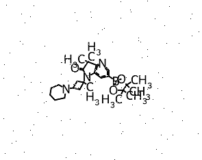 CC1(C)C(=O)N(C2(C)CC(N3CCCCC3)C2)c2cc(B3OC(C)(C)C(C)(C)O3)cnc21